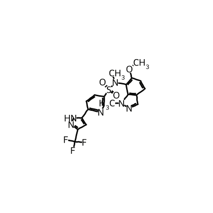 COc1ccc2cnn(C)c2c1N(C)S(=O)(=O)c1ccc(-c2cc(C(F)(F)F)n[nH]2)nc1